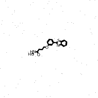 O=C(CCCOc1cccc(-c2nc3ccccc3s2)c1)NO